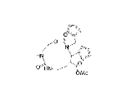 COC(=O)C1CCNC(=O)NCCOC(=O)N(Cc2cccs2)C1c1cccs1